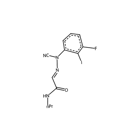 CCCNC(=O)C=NN(C#N)c1cccc(F)c1I